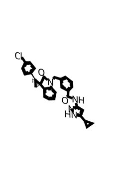 O=C(Nc1cc(C2CC2)[nH]n1)c1cccc(CN2C(=O)[C@@]3(C[C@H]3c3ccc(Cl)cc3)c3ccccc32)c1